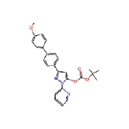 COc1ccc(-c2ccc(-c3cc(OC(=O)OC(C)(C)C)n(-c4ccccn4)n3)cc2)cc1